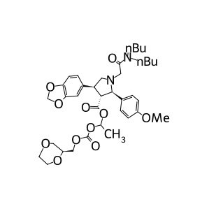 CCCCN(CCCC)C(=O)CN1C[C@H](c2ccc3c(c2)OCO3)[C@@H](C(=O)OC(C)OC(=O)OC[C@@H]2COCCO2)[C@@H]1c1ccc(OC)cc1